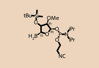 B[C@@H]1O[C@H](OP(OCC[N+]#[C-])N(C(C)C)C(C)C)[C@H](OC)C1O[Si](C)(C)C(C)(C)C